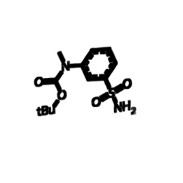 CN(C(=O)OC(C)(C)C)c1cccc(S(N)(=O)=O)c1